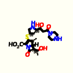 C[C@@H](O)[C@H]1C(=O)N2C(C(=O)O)=C(S[C@@H]3CN[C@H]([C@@H](O)CC(=O)N4CCNCC4)C3)[C@H](C)[C@H]12